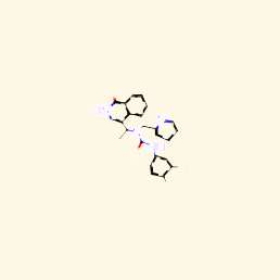 CC(c1c[nH]c(=O)c2ccccc12)N(Cc1ccccn1)C(=O)Nc1ccc(F)c(Cl)c1